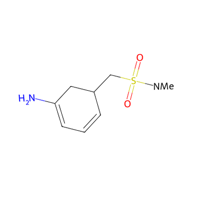 CNS(=O)(=O)CC1C=CC=C(N)C1